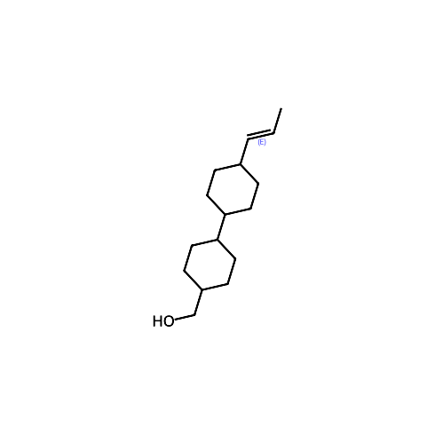 C/C=C/C1CCC(C2CCC(CO)CC2)CC1